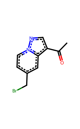 CC(=O)c1cnn2ccc(CBr)cc12